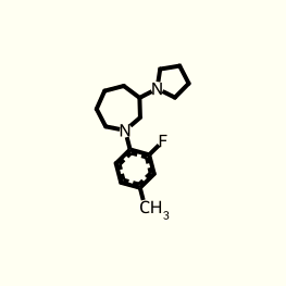 Cc1ccc(N2CCCCC(N3CCCC3)C2)c(F)c1